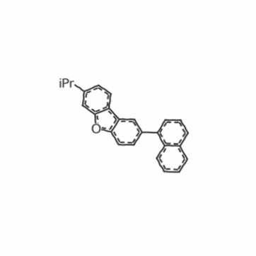 CC(C)c1ccc2c(c1)oc1ccc(-c3cccc4ccccc34)cc12